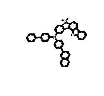 C[Si]1(C)c2ccc(N(c3ccc(-c4ccccc4)cc3)c3ccc(-c4ccc5ccccc5c4)cc3)cc2-c2c1ccc1c2oc2ccccc21